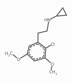 COc1cc(CCNC2CC2)c(Cl)c(OC)c1